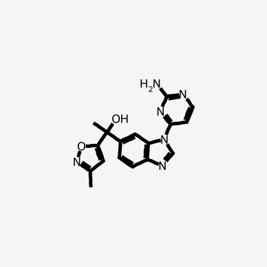 Cc1cc(C(C)(O)c2ccc3ncn(-c4ccnc(N)n4)c3c2)on1